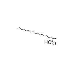 C=C(CCCCCCC=CCCCCCCCC)C(=O)O